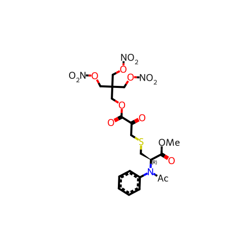 COC(=O)[C@H](CSCC(=O)C(=O)OCC(CO[N+](=O)[O-])(CO[N+](=O)[O-])CO[N+](=O)[O-])N(C(C)=O)c1ccccc1